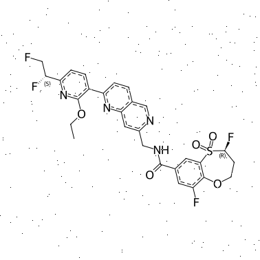 CCOc1nc([C@H](F)CF)ccc1-c1ccc2cnc(CNC(=O)c3cc(F)c4c(c3)S(=O)(=O)[C@@H](F)CCO4)cc2n1